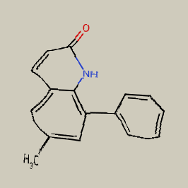 Cc1cc(-c2ccccc2)c2[nH]c(=O)ccc2c1